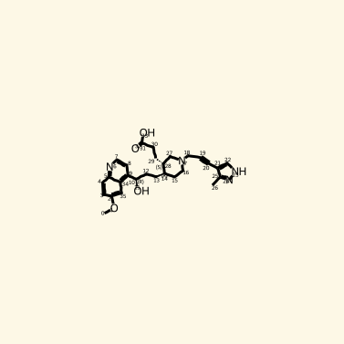 COc1ccc2nccc([C@H](O)CC[C@@H]3CCN(CC#Cc4c[nH]nc4C)C[C@H]3CCC(=O)O)c2c1